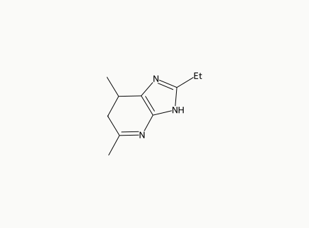 CCc1nc2c([nH]1)N=C(C)CC2C